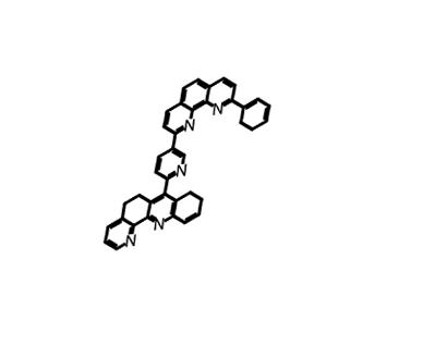 C1=CCCC(c2ccc3ccc4ccc(-c5ccc(-c6c7c(nc8c6CCc6cccnc6-8)C=CCC7)nc5)nc4c3n2)=C1